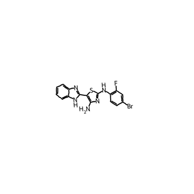 Nc1nc(Nc2ccc(Br)cc2F)sc1-c1nc2ccccc2[nH]1